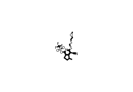 COCCSCSc1nc(OS(=O)(=O)C(F)(F)F)c2c(c1C#N)C(C)CC2